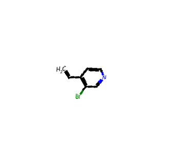 C=Cc1ccncc1Br